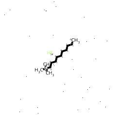 CCCCCCCCCC[Si](C)(C)C.F